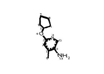 Cc1cc(OC2CCCC2)ncc1N